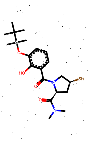 CN(C)C(=O)[C@@H]1C[C@H](S)CN1C(=O)c1cccc(O[Si](C)(C)C(C)(C)C)c1O